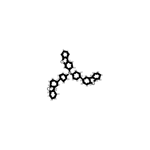 c1ccc2c(c1)oc1cc(N(c3ccc(-c4ccc5oc6ccccc6c5c4)cc3)c3ccc(-c4ccc5oc6ccccc6c5c4)cc3)ccc12